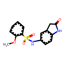 COc1ccccc1S(=O)(=O)Nc1ccc2c(c1)CC(=O)N2